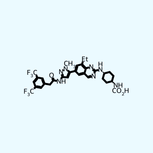 CCc1cc(-c2cc(NC(=O)Cc3cc(C(F)(F)F)cc(C(F)(F)F)c3)nn2C)cc2cnc(N[C@H]3CC[C@H](NC(=O)O)CC3)nc12